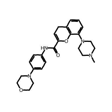 CN1CCN(c2cccc3c2OC(C(=O)Nc2ccc(N4CCOCC4)cc2)=CC3)CC1